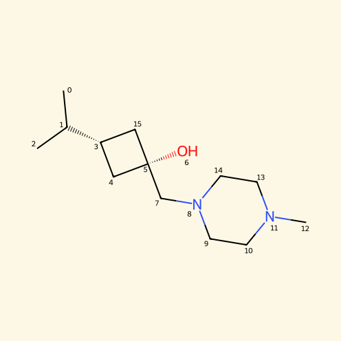 CC(C)[C@H]1C[C@](O)(CN2CCN(C)CC2)C1